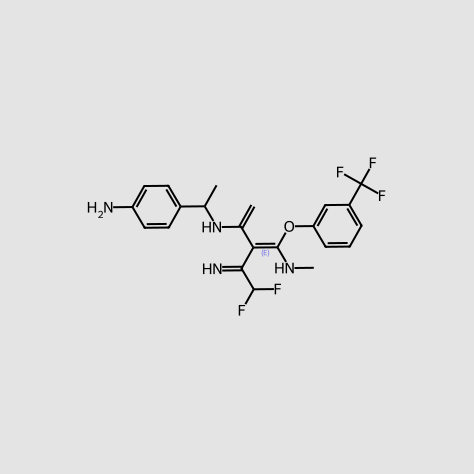 C=C(NC(C)c1ccc(N)cc1)/C(C(=N)C(F)F)=C(/NC)Oc1cccc(C(F)(F)F)c1